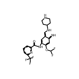 N=C1C=C(OC(F)F)C(NC(=O)c2cccc(C(F)(F)F)n2)=C/C1=C/NC1CCNCC1